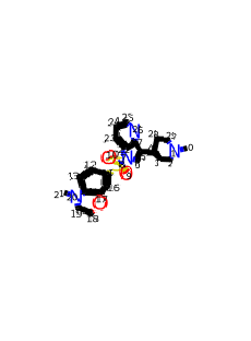 CN1CC=C(c2cn(S(=O)(=O)c3ccc4c(c3)OCCN4C)c3cccnc23)CC1